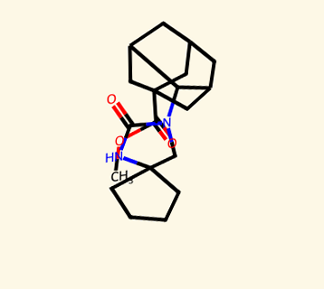 COC(=O)C12CC3CC(C1)C(N1CC4(CCCC4)NC1=O)C(C3)C2